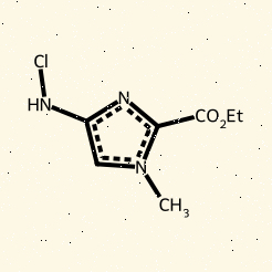 CCOC(=O)c1nc(NCl)cn1C